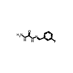 NNC(=O)N/N=C/c1cccc(F)c1